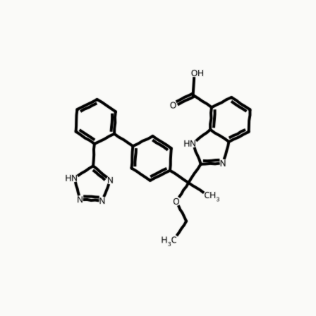 CCOC(C)(c1ccc(-c2ccccc2-c2nnn[nH]2)cc1)c1nc2cccc(C(=O)O)c2[nH]1